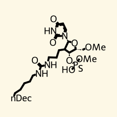 CCCCCCCCCCCCCCCNC(=O)NCCCC1[C@@H](OP(O)(=S)OC)[C@@H](COC)O[C@H]1n1ccc(=O)[nH]c1=O